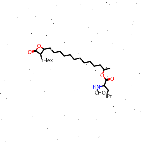 CCCCCCC1C(=O)OC1CCCCCCCCCCCC(C)OC(=O)C(CC(C)C)NC=O